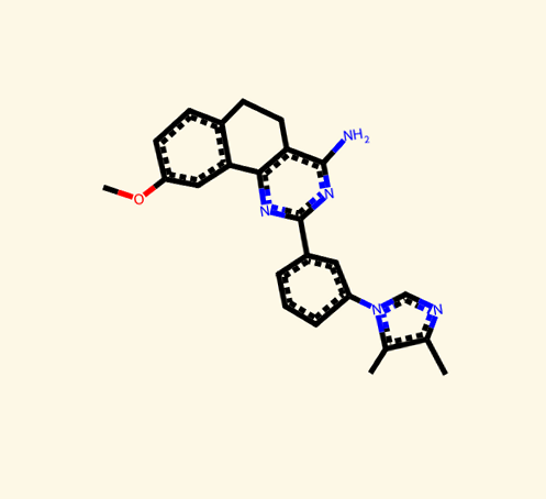 COc1ccc2c(c1)-c1nc(-c3cccc(-n4cnc(C)c4C)c3)nc(N)c1CC2